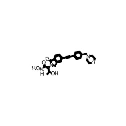 CC(O)C(C(=O)NO)N1Cc2cc(C#Cc3ccc(CN4CCOCC4)cc3)ccc2C1=O